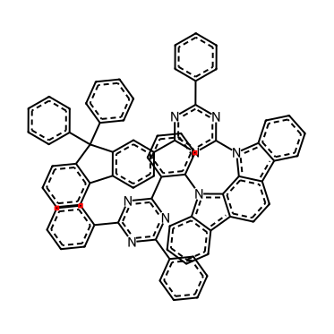 c1ccc(-c2nc(-c3ccccc3)nc(-c3ccccc3-n3c4ccccc4c4ccc5c6ccccc6n(-c6nc(-c7ccccc7)nc(-c7ccc8c(c7)C(c7ccccc7)(c7ccccc7)c7ccccc7-8)n6)c5c43)n2)cc1